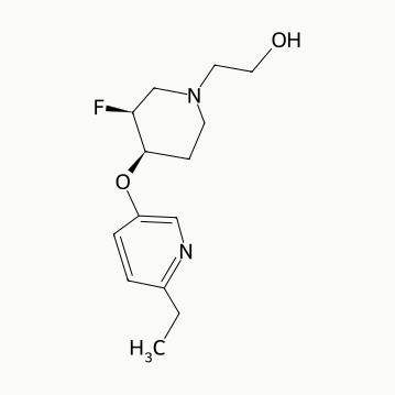 CCc1ccc(O[C@@H]2CCN(CCO)C[C@@H]2F)cn1